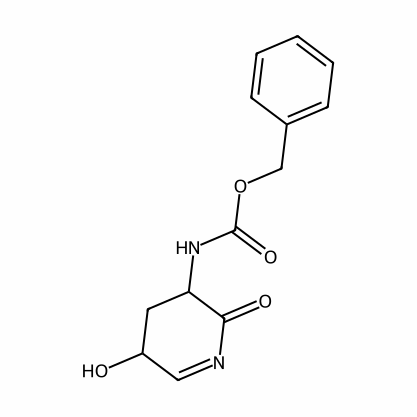 O=C(NC1CC(O)C=NC1=O)OCc1ccccc1